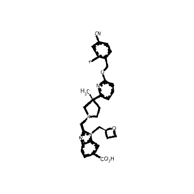 C[C@@]1(c2cccc(OCc3ccc(C#N)cc3F)n2)CCN(Cc2nc3ccc(C(=O)O)cc3n2C[C@@H]2CCO2)C1